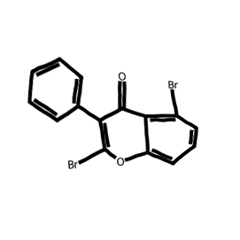 O=c1c(-c2ccccc2)c(Br)oc2cccc(Br)c12